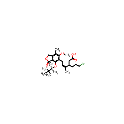 COc1c(C)c2c(c(O[Si](C)(C)C(C)(C)C)c1CC=C(C)C(CCCBr)CC(=O)O)C(=O)OC2